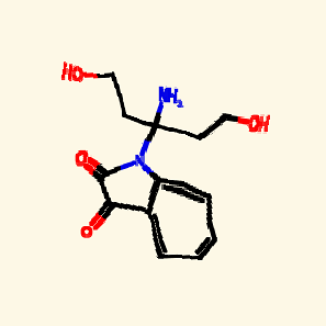 NC(CCO)(CCO)N1C(=O)C(=O)c2ccccc21